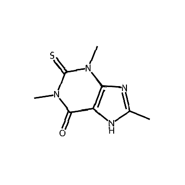 Cc1nc2c([nH]1)c(=O)n(C)c(=S)n2C